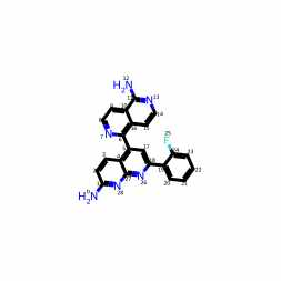 Nc1ccc2c(-c3nccc4c(N)nccc34)cc(-c3ccccc3F)nc2n1